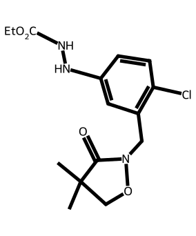 CCOC(=O)NNc1ccc(Cl)c(CN2OCC(C)(C)C2=O)c1